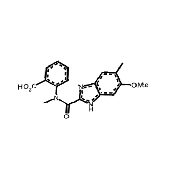 COc1cc2[nH]c(C(=O)N(C)c3ccccc3C(=O)O)nc2cc1C